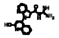 N=C(N)NC(=O)C1CN(c2cc(O)nc3ccccc23)c2ncccc21